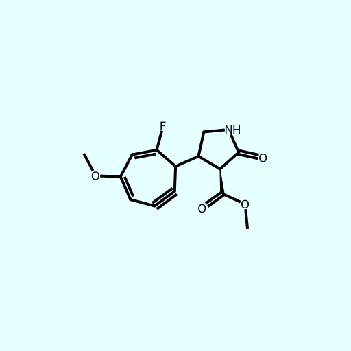 COC(=O)[C@@H]1C(=O)NCC1C1C#CC=C(OC)C=C1F